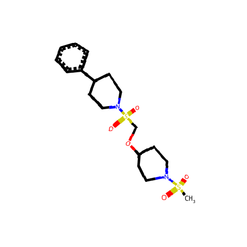 CS(=O)(=O)N1CCC(OCS(=O)(=O)N2CCC(c3ccccc3)CC2)CC1